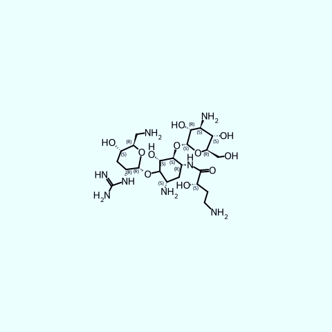 N=C(N)N[C@@H]1C[C@H](O)[C@@H](CN)O[C@@H]1OC1[C@@H](N)C[C@@H](NC(=O)[C@@H](O)CCN)[C@H](O[C@H]2O[C@H](CO)[C@@H](O)[C@H](N)[C@H]2O)[C@H]1O